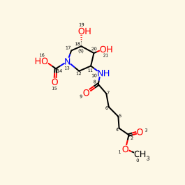 COC(=O)CCCCC(=O)NC1CN(C(=O)O)C[C@H](O)C1O